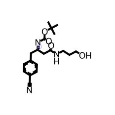 CC(C)(C)OC(=O)/N=C(\CC(=O)NCCCO)Cc1ccc(C#N)cc1